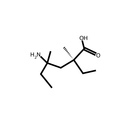 CCC(C)(N)C[C@](C)(CC)C(=O)O